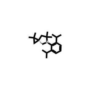 CC(C)c1cccc(C(C)C)c1N1C[C@]2(CC1(C)C)CC2(C)C